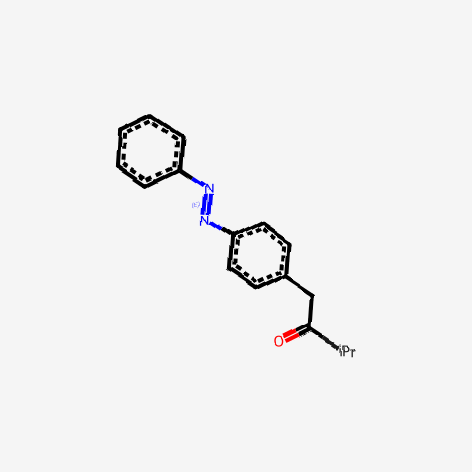 CC(C)C(=O)Cc1ccc(/N=N/c2ccccc2)cc1